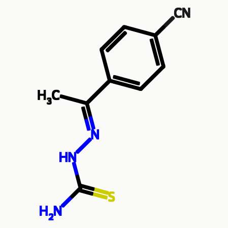 CC(=NNC(N)=S)c1ccc(C#N)cc1